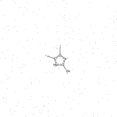 Oc1nc(I)c(I)[nH]1